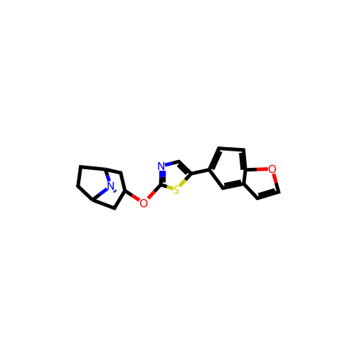 CN1C2CCC1CC(Oc1ncc(-c3ccc4occc4c3)s1)C2